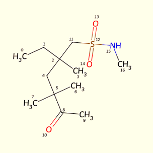 CCC(C)(CC(C)(C)C(C)=O)CS(=O)(=O)NC